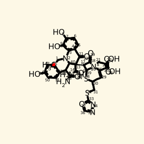 CCN1c2c(ccc(O)c2O)C(=O)C(C(N)=O)([C@H]2C(=O)[N+]3(CC(=O)O)C(C(=O)O)=CC(CSc4nnco4)S[C@@H]23)C1C(C(N)=O)c1ccc(O)cc1